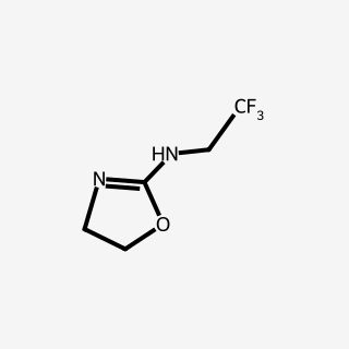 FC(F)(F)CNC1=NCCO1